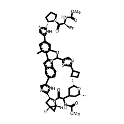 COC(=O)NC(C(=O)N1[C@@H]2C[C@@H]2C[C@H]1c1ncc(-c2ccc3c(c2)cc2n3C(c3cnc(C4CCC4)s3)Oc3cc(-c4cnc([C@@H]5CCCN5C(=O)[C@@H](NC(=O)OC)C(C)C)[nH]4)cc(C)c3-2)[nH]1)C1C[C@@H](C)O[C@@H](C)C1